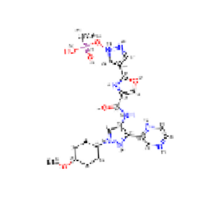 CCOC1CCC(n2cc(NC(=O)c3coc(-c4cnn(OP(=O)(O)OC)c4)n3)c(-c3cnccn3)n2)CC1